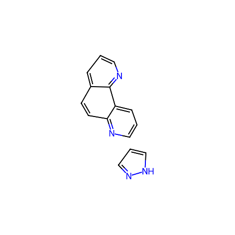 c1cn[nH]c1.c1cnc2c(c1)ccc1ncccc12